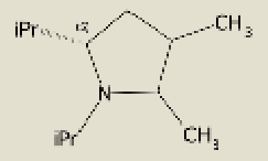 CC1C[C@@H](C(C)C)N(C(C)C)C1C